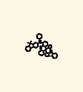 CC1(C)c2ccccc2-c2ccc(N(c3ccccc3)c3cccc4c3Sc3ccccc3C43c4ccccc4-n4c5ccccc5c5cccc3c54)cc21